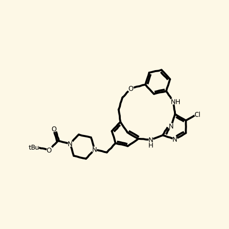 CC(C)(C)OC(=O)N1CCN(Cc2cc3cc(c2)Nc2ncc(Cl)c(n2)Nc2cccc(c2)OCC3)CC1